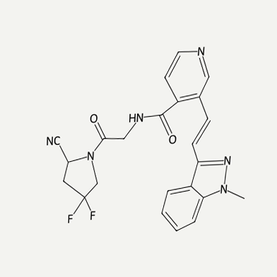 Cn1nc(/C=C/c2cnccc2C(=O)NCC(=O)N2CC(F)(F)CC2C#N)c2ccccc21